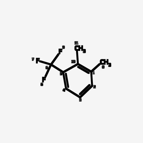 Cc1cccc(C(F)(F)F)c1C